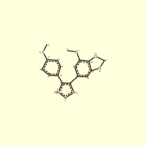 COc1cc(-c2nn[nH]c2-c2ccc(SC)cc2)cc2c1OCO2